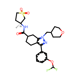 C[C@]1(NC(=O)C2CCc3c(-c4cccc(OC(F)F)c4)nn(CC4CCOCC4)c3C2)CCS(=O)(=O)C1